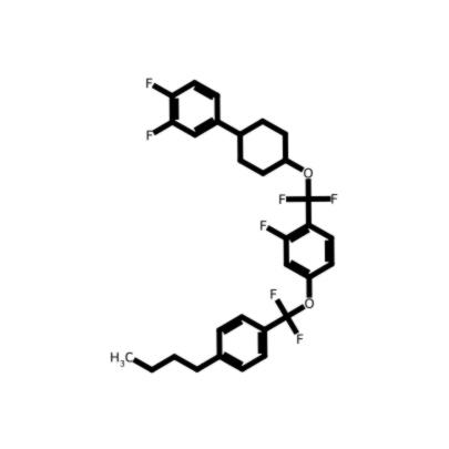 CCCCc1ccc(C(F)(F)Oc2ccc(C(F)(F)OC3CCC(c4ccc(F)c(F)c4)CC3)c(F)c2)cc1